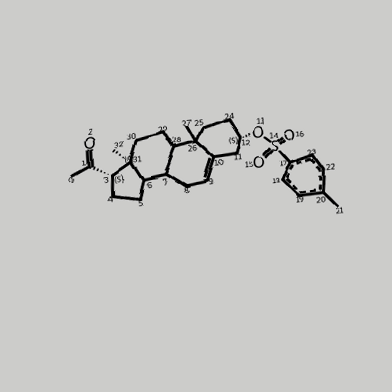 CC(=O)[C@H]1CCC2C3CC=C4C[C@@H](OS(=O)(=O)c5ccc(C)cc5)CCC4(C)C3CC[C@@]21C